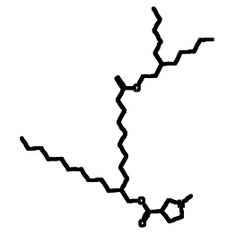 C=C(CCCCCCCCC(CCCCCCCCCC)COC(=O)C1CCN(C)C1)OCCC(CCCCC)CCCCC